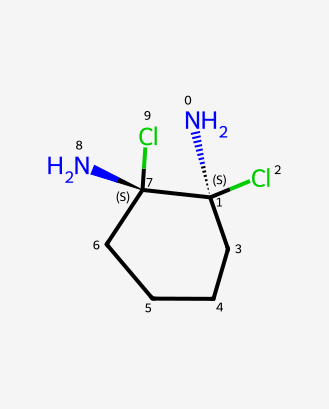 N[C@]1(Cl)CCCC[C@]1(N)Cl